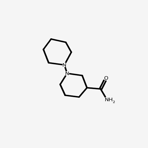 NC(=O)C1CCCN(N2CCCCC2)C1